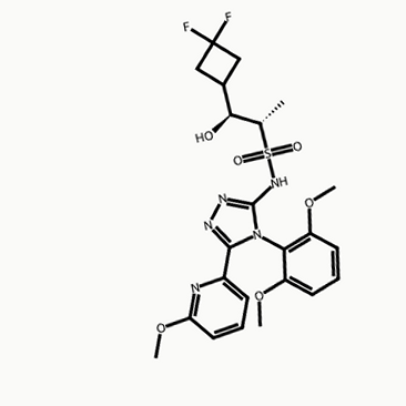 COc1cccc(-c2nnc(NS(=O)(=O)[C@@H](C)[C@@H](O)C3CC(F)(F)C3)n2-c2c(OC)cccc2OC)n1